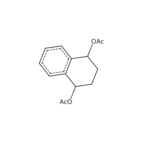 CC(=O)OC1CCC(OC(C)=O)c2ccccc21